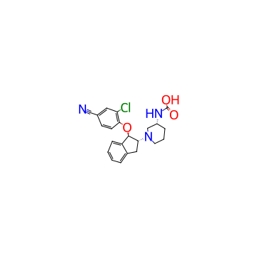 N#Cc1ccc(O[C@@H]2c3ccccc3C[C@H]2N2CCC[C@@H](NC(=O)O)C2)c(Cl)c1